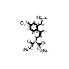 C/C(=C/CN(C(=O)OC(C)(C)C)C(=O)OC(C)(C)C)c1ccc([N+](=O)[O-])cc1C[S+](C)[O-]